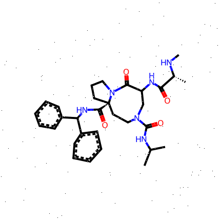 CN[C@H](C)C(=O)NC1CN(C(=O)NC(C)C)CC[C@]2(C(=O)NC(c3ccccc3)c3ccccc3)CCCN2C1=O